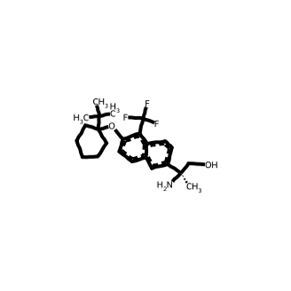 CC(C)(C)C1(Oc2ccc3cc([C@](C)(N)CO)ccc3c2C(F)(F)F)CCCCC1